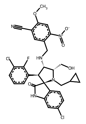 COc1cc([N+](=O)[O-])c(CN[C@@H]2[C@H](CO)N(CC3CC3)[C@@]3(C(=O)Nc4cc(Cl)ccc43)[C@H]2c2cccc(Cl)c2F)cc1C#N